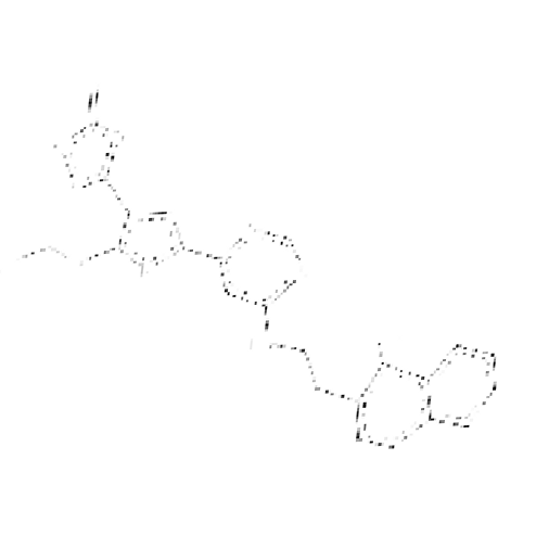 CCOc1nc(-c2cc(NCCc3ccc4ccccc4c3C)ncn2)sc1-c1noc(=O)[nH]1